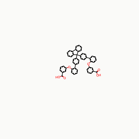 O=C(O)c1cccc(Oc2ccccc2-c2ccc(C3(c4ccc(-c5ccccc5Oc5cccc(C(=O)O)c5)cc4)c4ccccc4-c4ccccc43)cc2)c1